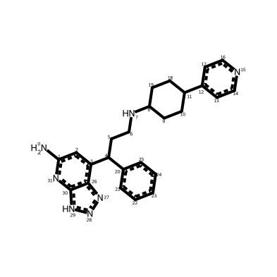 Nc1cc(C(CCNC2CCC(c3ccncc3)CC2)c2ccccc2)c2nn[nH]c2n1